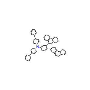 c1ccc(-c2ccc(N(c3ccc(-c4ccccc4)cc3)c3ccc(-c4ccc5c(ccc6ccccc65)c4)c(-c4cc5ccccc5c5ccccc45)c3)cc2)cc1